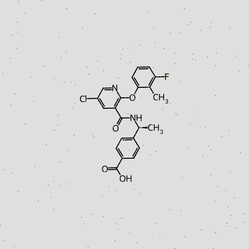 Cc1c(F)cccc1Oc1ncc(Cl)cc1C(=O)N[C@@H](C)c1ccc(C(=O)O)cc1